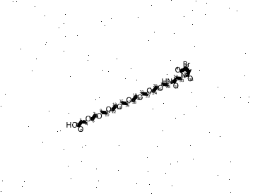 O=C(O)CCOCCOCCOCCOCCOCCOCCOCCOCCNC(=O)CCN1C(=O)C=C(Br)C1=O